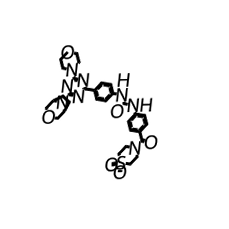 O=C(Nc1ccc(C(=O)N2CCS(=O)(=O)CC2)cc1)Nc1ccc(-c2nc(N3CCOCC3)nc(N3C4CCC3COC4)n2)cc1